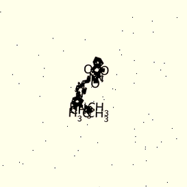 Cc1ccc(N2CCN(CCCn3c4c(n[n+]3[O-])C(=O)c3ccccc3C4=O)CC2)cc1NCC(C)(C)C